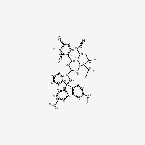 COc1ccc(C(OCC(CCn2ccc(=O)n(C)c2=O)OP(OCCC#N)N(C(C)C)C(C)C)(c2ccccc2)c2ccc(OC)cc2)cc1